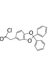 O=C(Cl)Cc1ccc2c(c1)OC(c1ccccc1)(c1ccccc1)O2